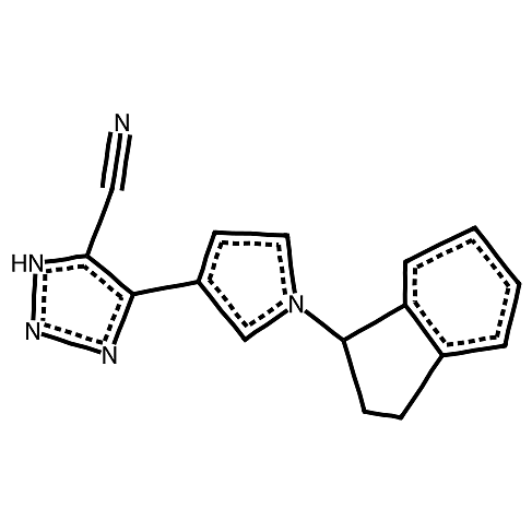 N#Cc1[nH]nnc1-c1ccn(C2CCc3ccccc32)c1